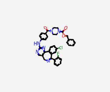 O=C(OCc1ccccc1)N1CCN(C(=O)c2ccc(Nc3ncc4c(n3)-c3ccc(Cl)cc3C(c3ccccc3F)=NC4)cc2)CC1